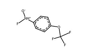 [O-][NH+](F)c1ccc(OC(F)(F)F)cc1